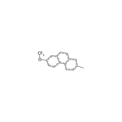 Cc1ccc2c(ccc3cc(OC(F)(F)F)ccc32)c1